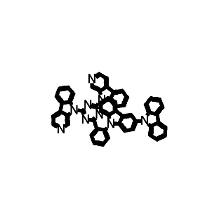 c1ccc(-n2c3ccccc3c3cc(-n4c5ccccc5c5ccccc54)ccc32)c(-c2nc(-n3c4ccccc4c4ccncc43)nc(-n3c4ccccc4c4ccncc43)n2)c1